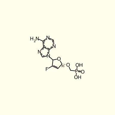 Nc1ncnc2c1ncn2C1O[C@H](OCP(=O)(O)O)C=C1F